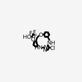 Clc1cnc2nc1NCc1cccc(c1)OCCc1cccc(c1)N2.O=C(O)C(F)(F)F